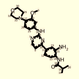 COc1cc(Nc2nccc(-c3ccc(NC(=O)C(C)C)c(N)c3)n2)ccc1N1CCOCC1